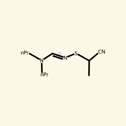 CCCN(/C=N/SC(C)C#N)CCC